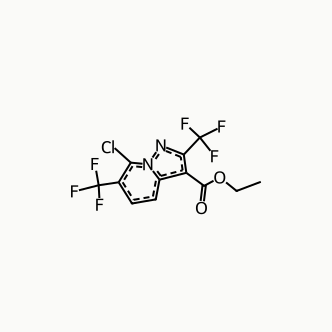 CCOC(=O)c1c(C(F)(F)F)nn2c(Cl)c(C(F)(F)F)ccc12